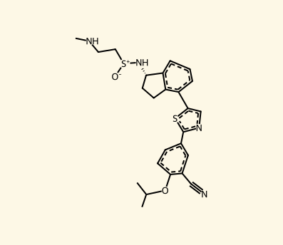 CNCC[S+]([O-])N[C@H]1CCc2c(-c3cnc(-c4ccc(OC(C)C)c(C#N)c4)s3)cccc21